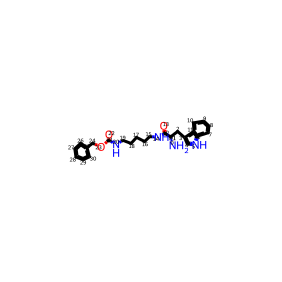 N[C@H](Cc1c[nH]c2ccccc12)C(=O)NCCCCCNC(=O)OCc1ccccc1